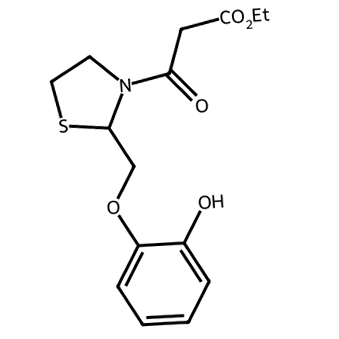 CCOC(=O)CC(=O)N1CCSC1COc1ccccc1O